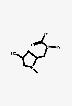 CCC(=O)N(CC1CC(O)CN1C)C(C)C